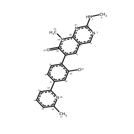 CNc1ncc2cc(-c3ccc(-c4cccc(C)n4)cc3Cl)c(=O)n(C)c2n1